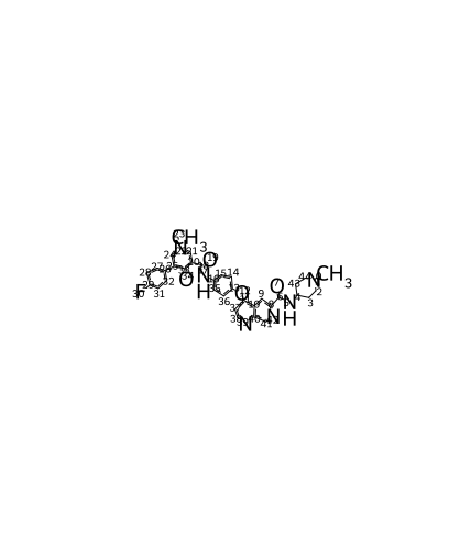 CN1CCC(NC(=O)c2cc3c(Oc4ccc(NC(=O)c5cn(C)cc(-c6ccc(F)cc6)c5=O)cc4)ccnc3cn2)CC1